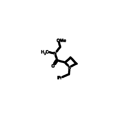 COCN(C)C(=O)C1CCN1CC(C)C